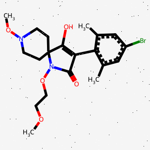 COCCON1C(=O)C(c2c(C)cc(Br)cc2C)=C(O)C12CCN(OC)CC2